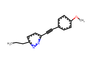 CCCc1ccc(C#Cc2ccc(OC)cc2)nn1